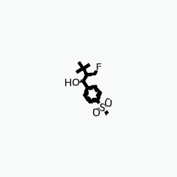 CC(C)(C)C(CF)[C@H](O)c1ccc(S(C)(=O)=O)cc1